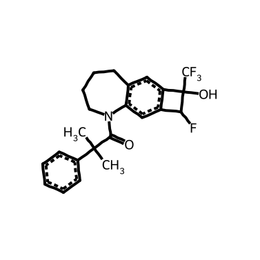 CC(C)(C(=O)N1CCCCc2cc3c(cc21)C(F)C3(O)C(F)(F)F)c1ccccc1